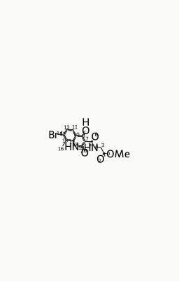 COC(=O)CNC(=O)c1c(O)c2ccc(Br)c(C)c2[nH]c1=O